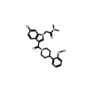 CC(C)Oc1ccccc1C1CCN(C(=O)c2cn(CC(=O)N(C)C)c3cc(Cl)ccc23)CC1